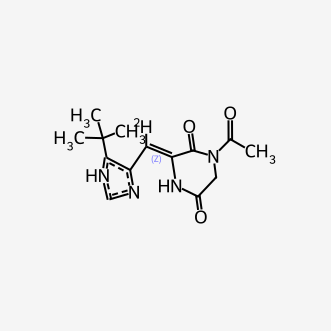 [2H]/C(=C1/NC(=O)CN(C(C)=O)C1=O)c1nc[nH]c1C(C)(C)C